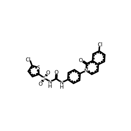 O=C(Nc1ccc(-n2ccc3ccc(Cl)cc3c2=O)cc1)NS(=O)(=O)c1ccc(Cl)s1